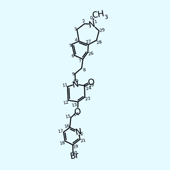 CN1CCc2ccc(CCn3ccc(OCc4ccc(Br)cn4)cc3=O)cc2CC1